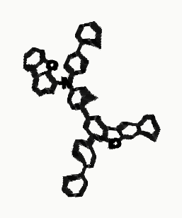 c1ccc(-c2ccc(-c3cc(-c4ccc(N(c5ccc(-c6ccccc6)cc5)c5cccc6c5oc5ccccc56)cc4)cc4c3oc3cc5ccccc5cc34)cc2)cc1